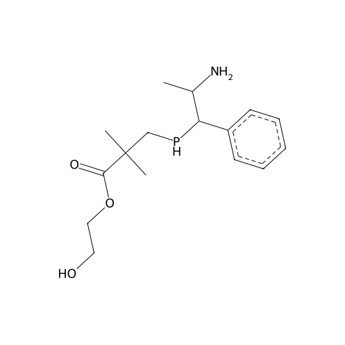 CC(N)C(PCC(C)(C)C(=O)OCCO)c1ccccc1